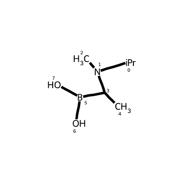 CC(C)N(C)C(C)B(O)O